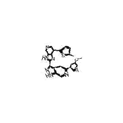 COc1cncc(-c2cc3c(-c4nc5c(-c6ccc(C)s6)cncc5[nH]4)n[nH]c3cn2)c1